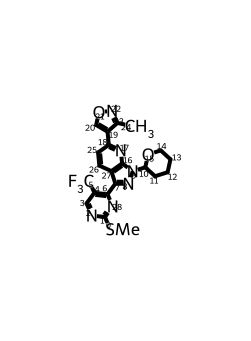 CSc1ncc(C(F)(F)F)c(-c2nn(C3CCCCO3)c3nc(-c4conc4C)ccc23)n1